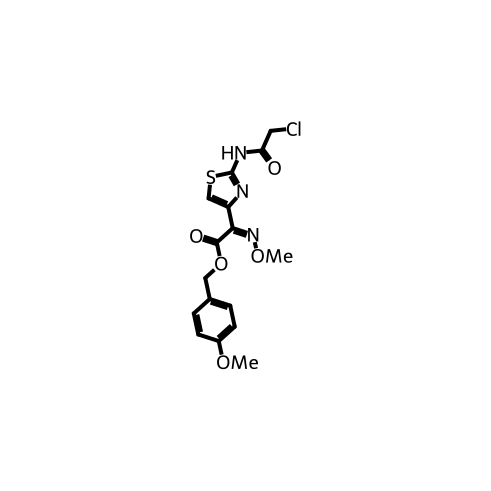 CON=C(C(=O)OCc1ccc(OC)cc1)c1csc(NC(=O)CCl)n1